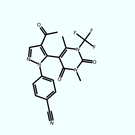 CC(=O)c1cnn(-c2ccc(C#N)cc2)c1-c1c(C)n(C(F)(F)F)c(=O)n(C)c1=O